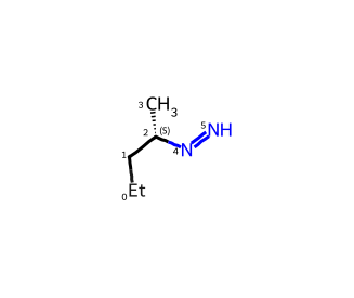 CCC[C@H](C)N=N